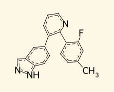 Cc1ccc(-c2ncccc2-c2ccc3[nH]ncc3c2)c(F)c1